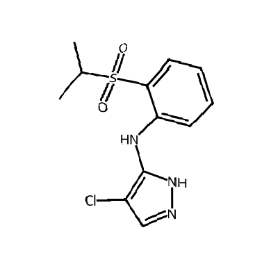 CC(C)S(=O)(=O)c1ccccc1Nc1[nH]ncc1Cl